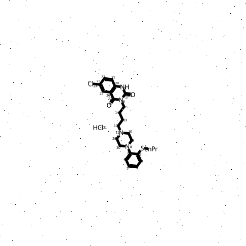 CCCSc1ccccc1N1CCN(CCCCn2c(=O)[nH]c3ccc(Cl)cc3c2=O)CC1.Cl